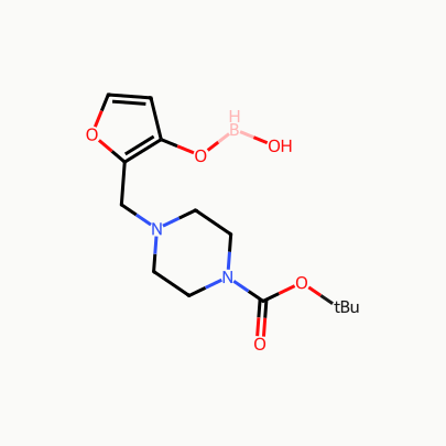 CC(C)(C)OC(=O)N1CCN(Cc2occc2OBO)CC1